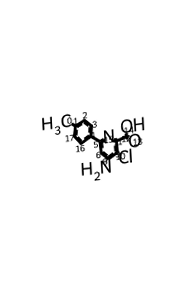 Cc1ccc(-c2cc(N)c(Cl)c(C(=O)O)n2)cc1